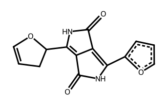 O=C1NC(C2CC=CO2)=C2C(=O)NC(c3ccco3)=C12